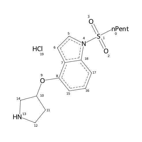 CCCCCS(=O)(=O)n1ccc2c(OC3CCNC3)cccc21.Cl